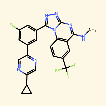 CNc1nc2nnc(-c3cc(F)cc(-c4cnc(C5CC5)cn4)c3)n2c2ccc(C(F)(F)F)cc12